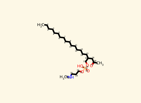 CCCCCCCCCCCCCCCCC(COP(=O)(O)OCCCNC)CC(C)=O